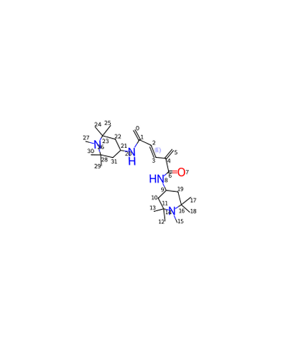 C=C(/C=C/C(=C)C(=O)NC1CC(C)(C)N(C)C(C)(C)C1)NC1CC(C)(C)N(C)C(C)(C)C1